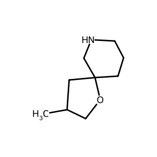 CC1COC2(CCCNC2)C1